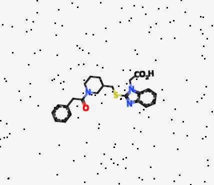 O=C(O)Cn1c(SCC2CCCN(C(=O)Cc3ccccc3)C2)nc2ccccc21